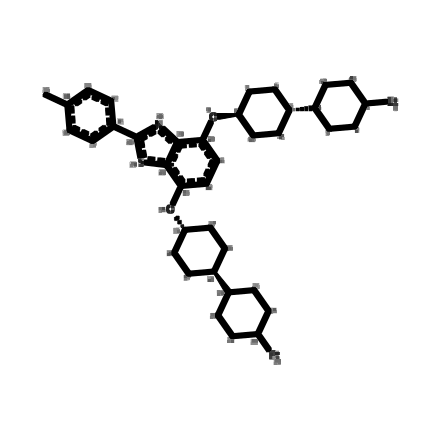 CCC1CCC([C@H]2CC[C@H](Oc3ccc(O[C@H]4CC[C@H](C5CCC(CC)CC5)CC4)c4sc(-c5ccc(C)cc5)nc34)CC2)CC1